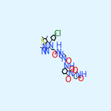 Cc1sc2c(c1C)C(c1ccc(Cl)cc1)=N[C@@H](/C=C/C(=O)NN1CCN(C(=O)CNc3cccc4c3C(=O)N(C3CCC(=O)NC3=O)C4=O)CC1)c1nnc(C)n1-2